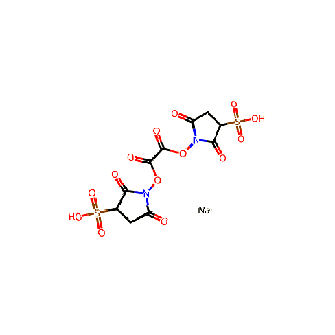 O=C(ON1C(=O)CC(S(=O)(=O)O)C1=O)C(=O)ON1C(=O)CC(S(=O)(=O)O)C1=O.[Na]